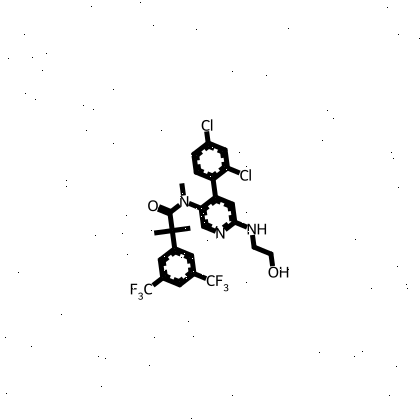 CN(C(=O)C(C)(C)c1cc(C(F)(F)F)cc(C(F)(F)F)c1)c1cnc(NCCO)cc1-c1ccc(Cl)cc1Cl